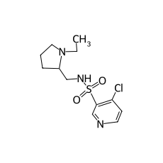 CCN1CCCC1CNS(=O)(=O)c1cnccc1Cl